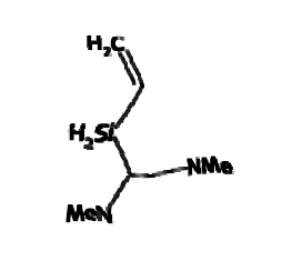 C=C[SiH2]C(NC)NC